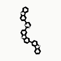 c1ccc2c(c1)oc1ccc(-c3ccc4oc5ccc(-c6nccc(-c7ccc8sc9ccccc9c8c7)n6)cc5c4c3)cc12